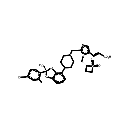 C[C@]1(c2ccc(Cl)cc2F)Oc2cccc(C3CCN(Cc4ncc(/C=C/C(=O)O)n4C[C@H]4CCS4(=O)=O)CC3)c2O1